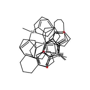 C[SiH]1C2=CC3=C(CCCC3)[CH]2[Ti]234([CH]5C1=CC1=C5CCCC1)([CH]1C(=CC5=C1CCCC5)[SiH](C)C1=CC5=C(CCCC5)[CH]12)([CH]1C(=CC2=C1CCCC2)[SiH](C)C1=CC2=C(CCCC2)[CH]13)[CH]1C(=CC2=C1CCCC2)[SiH](C)C1=CC2=C(CCCC2)[CH]14